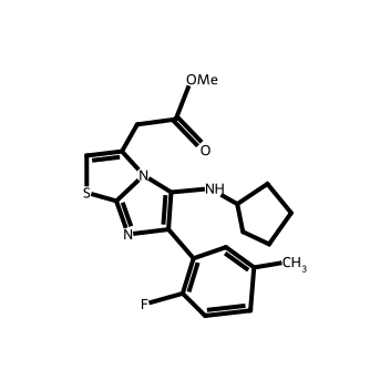 COC(=O)Cc1csc2nc(-c3cc(C)ccc3F)c(NC3CCCC3)n12